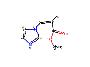 CCCCCCOC(=O)C(C)=Cn1ccnc1